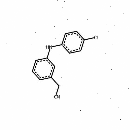 N#C[CH]c1cccc(Nc2ccc(Cl)cc2)c1